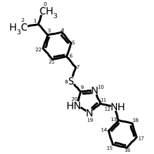 CC(C)c1ccc(CSc2nc(Nc3ccccc3)n[nH]2)cc1